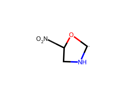 O=[N+]([O-])C1CN[CH]O1